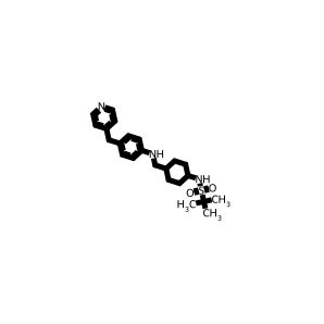 CC(C)(C)S(=O)(=O)NC1CCC(CNc2ccc(Cc3ccncc3)cc2)CC1